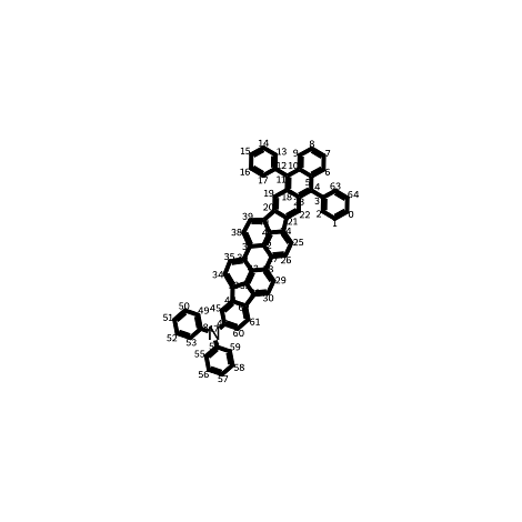 c1ccc(-c2c3ccccc3c(-c3ccccc3)c3cc4c(cc23)-c2ccc3c5ccc6c7c(ccc(c8ccc-4c2c38)c75)-c2cc(N(c3ccccc3)c3ccccc3)ccc2-6)cc1